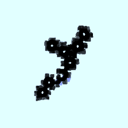 C=C(/C=C\C=C\c1cccc(-c2ccccc2)c1)c1ccc2c(c1)c1cc(-c3ccccc3)cc3c4cc(-c5ccccc5)ccc4n2c13